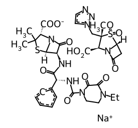 CCN1CCN(C(=O)N[C@@H](C(=O)N[C@@H]2C(=O)N3[C@@H]2SC(C)(C)[C@@H]3C(=O)[O-])c2ccccc2)C(=O)C1=O.C[C@]1(Cn2ccnn2)[C@H](C(=O)O)N2C(=O)C[C@H]2S1(=O)=O.[Na+]